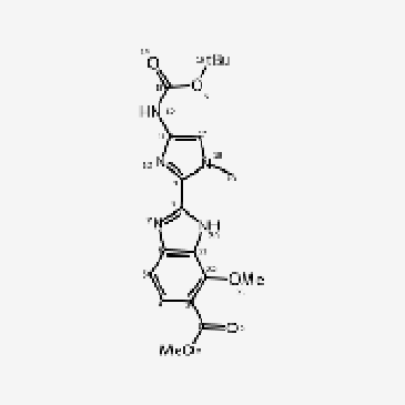 COC(=O)c1ccc2nc(-c3nc(NC(=O)OC(C)(C)C)cn3C)[nH]c2c1OC